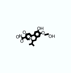 CC(C)C1Cc2cc(OCCO)c(O)cc2-c2cc(=O)c(C(=O)N=O)cn21